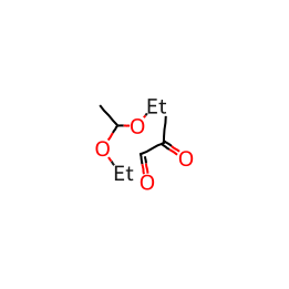 CC(=O)C=O.CCOC(C)OCC